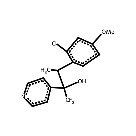 COc1ccc(C(C)C(O)(c2ccncc2)C(F)(F)F)c(Cl)c1